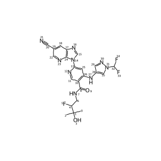 CC(C)(O)C(F)CNC(=O)c1cnc(-n2cnc3cc(C#N)cnc32)cc1Nc1cnn(C(F)F)c1